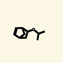 CC(C)OC1CC2C=CC1C2